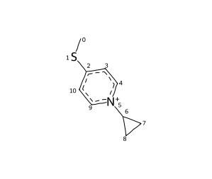 CSc1cc[n+](C2CC2)cc1